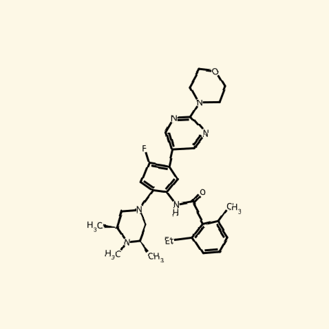 CCc1cccc(C)c1C(=O)Nc1cc(-c2cnc(N3CCOCC3)nc2)c(F)cc1N1C[C@@H](C)N(C)[C@@H](C)C1